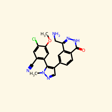 COc1cc(-c2c(-c3ccc4c(=O)[nH]nc(CN)c4c3)cnn2C)c(C#N)cc1Cl